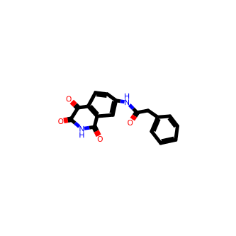 O=C(Cc1ccccc1)Nc1ccc2c(c1)C(=O)NC(=O)C2=O